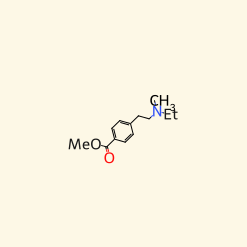 CCN(C)CCc1ccc(C(=O)OC)cc1